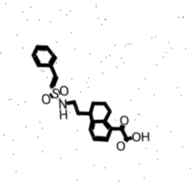 O=C(O)C(=O)c1cccc2c1CCCC2CCNS(=O)(=O)C=Cc1ccccc1